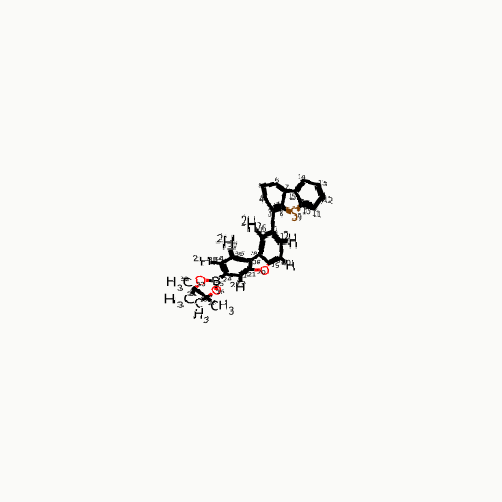 [2H]c1c(-c2cccc3c2sc2ccccc23)c([2H])c2c(oc3c([2H])c(B4OC(C)(C)C(C)(C)O4)c([2H])c([2H])c32)c1[2H]